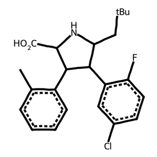 Cc1ccccc1C1C(C(=O)O)NC(CC(C)(C)C)C1c1cc(Cl)ccc1F